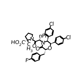 CCC[C@@H](C(=O)N1CCC[C@@]1(C)C(=O)O)N1C(=O)[C@@H](Cc2ccc(F)cc2)O[C@H](c2ccc(Cl)cc2)[C@@H]1c1ccc(Cl)cc1